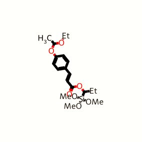 CCOC(C)Oc1ccc(C=CC(=O)OC(CC)[Si](OC)(OC)OC)cc1